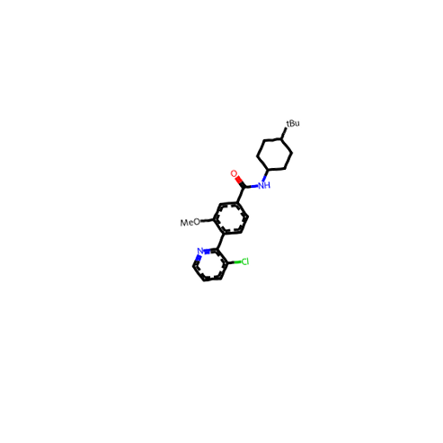 COc1cc(C(=O)NC2CCC(C(C)(C)C)CC2)ccc1-c1ncccc1Cl